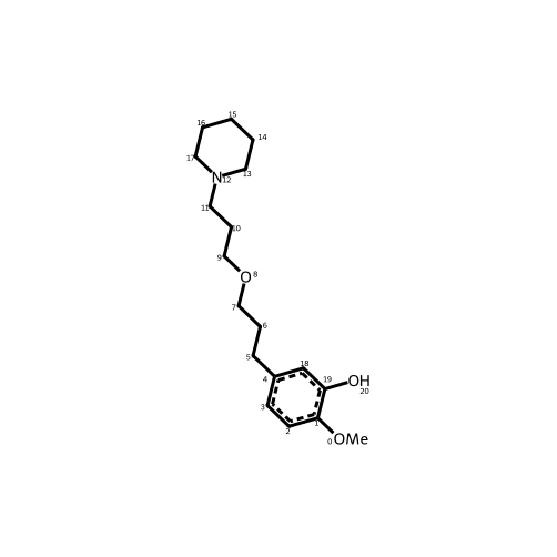 COc1ccc(CCCOCCCN2CCCCC2)cc1O